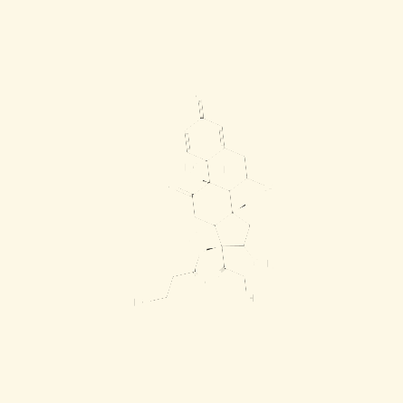 CCCC(=O)O[C@]1(C(=O)CO)C(C)C[C@H]2[C@@H]3C(Br)CC4=CC(=O)C=C[C@]4(C)[C@H]3C(=O)C[C@@]21C